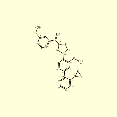 O=C(c1cc(CO)ccn1)N1CCC(c2ccc(-c3ccccc3C3CC3)cc2CO)C1